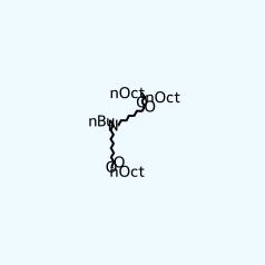 CCCCCCCCOC(=O)CCCCCCCN(CCCC)CCCCCCCC(=O)OC(CCCCCCCC)CCCCCCCC